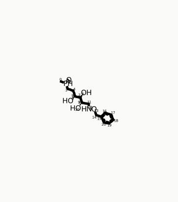 C[PH](=O)CC[C@@H](O)[C@@H](O)[C@@H](O)CNOCc1ccccc1